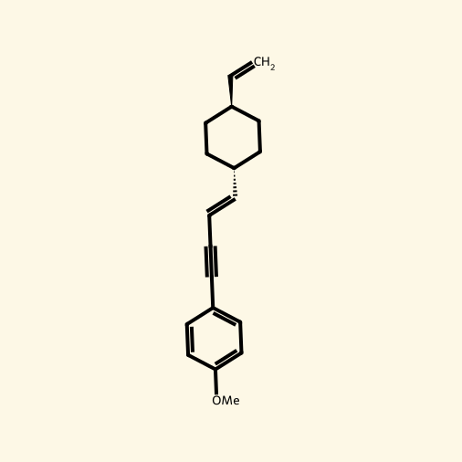 C=C[C@H]1CC[C@H](/C=C/C#Cc2ccc(OC)cc2)CC1